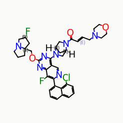 O=C(/C=C/CN1CCOCC1)N1C[C@H]2C[C@@H]1CN2c1nc(OC[C@@]23CCCN2C[C@H](F)C3)nc2c(F)c(-c3cccc4cccc(Cl)c34)ncc12